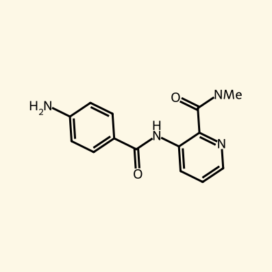 CNC(=O)c1ncccc1NC(=O)c1ccc(N)cc1